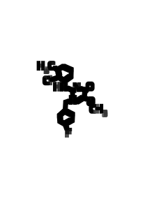 COc1cn(Cc2ccc(F)cc2)c(Nc2cccc(C)c2Cl)nc1=O